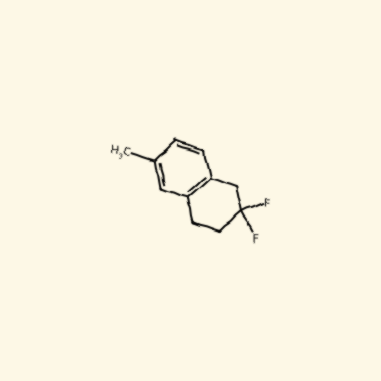 Cc1ccc2c(c1)CCC(F)(F)C2